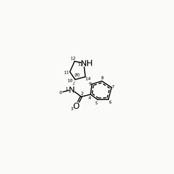 CN(C(=O)c1ccccc1)[C@@H]1CCNC1